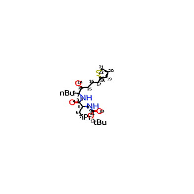 CCCCC(NC(=O)C(CC(C)C)NC(=O)OC(C)(C)C)C(=O)CCCc1cccs1